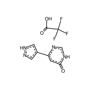 O=C(O)C(F)(F)F.O=c1cc(-c2cn[nH]c2)nc[nH]1